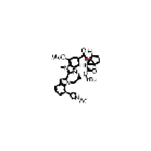 COc1cc(C(=O)N2C[C@H]3CC[C@@H]2[C@@H]3NC(=O)OC(C)(C)C)cc2nc(-c3cc4cccc(C5CN(C(C)=O)C5)c4n3CC3CC3)n(C)c12